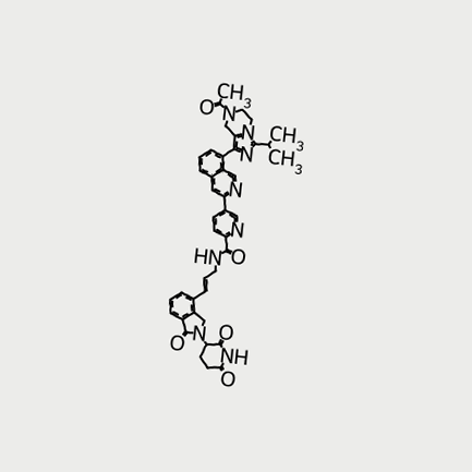 CC(=O)N1CCn2c(C(C)C)nc(-c3cccc4cc(-c5ccc(C(=O)NC/C=C/c6cccc7c6CN(C6CCC(=O)NC6=O)C7=O)nc5)ncc34)c2C1